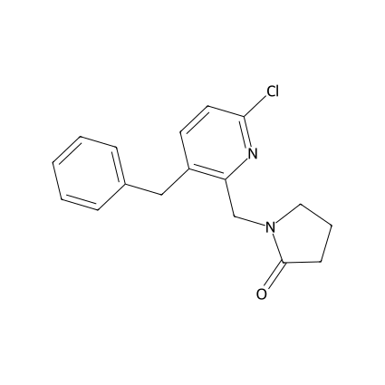 O=C1CCCN1Cc1nc(Cl)ccc1Cc1ccccc1